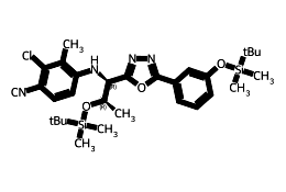 [C-]#[N+]c1ccc(N[C@@H](c2nnc(-c3cccc(O[Si](C)(C)C(C)(C)C)c3)o2)[C@@H](C)O[Si](C)(C)C(C)(C)C)c(C)c1Cl